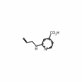 C=CCNc1cc(C(=O)O)ccn1